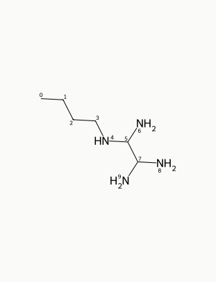 CCCCNC(N)C(N)N